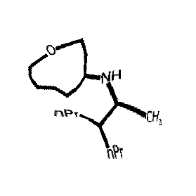 CCCC(CCC)C(C)NC1CCCOC1